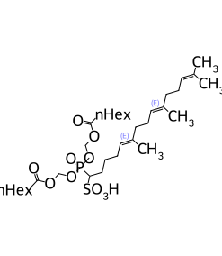 CCCCCCC(=O)OCOP(=O)(OCOC(=O)CCCCCC)C(CCC/C=C(\C)CC/C=C(\C)CCC=C(C)C)S(=O)(=O)O